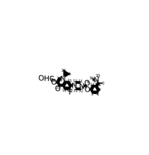 C[C@@H](c1cccc(OC(=O)N2CCN(c3cc4c(cc3F)c(=O)c(OC=O)cn4C3CC3)CC2)c1)N(C)C